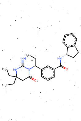 CCC(c1cccc(C(=O)N[C@H]2CCc3ccccc32)c1)N1C(=N)NC(CC)(CC)CC1=O